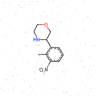 Cc1c(C2COCCN2)cccc1[N+](=O)[O-]